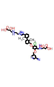 Cc1c(COc2cc(OCc3cncc(C#N)c3)c(CNCC(O)CC(=O)O)cc2Cl)cccc1-c1cccc(-c2cn(CCCNCC(O)CC(=O)O)nn2)c1C